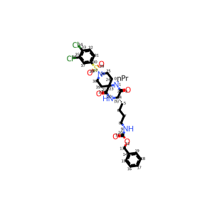 CCCN1C(=O)[C@H](CCCCNC(=O)OCc2ccccc2)NC(=O)C12CCN(S(=O)(=O)c1ccc(Cl)c(Cl)c1)CC2